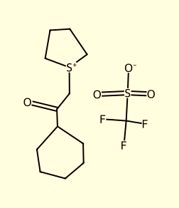 O=C(C[S+]1CCCC1)C1CCCCC1.O=S(=O)([O-])C(F)(F)F